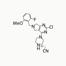 COc1cccc(F)c1CN1Cc2nc(Cl)nc(N3CCN[C@@H](CC#N)C3)c2C1